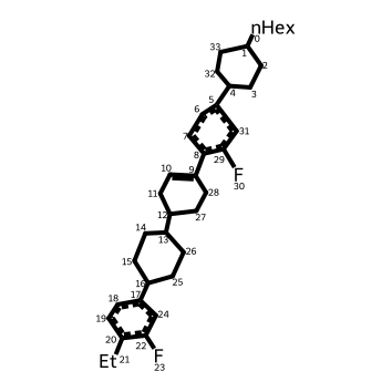 CCCCCCC1CCC(c2ccc(C3=CCC(C4CCC(c5ccc(CC)c(F)c5)CC4)CC3)c(F)c2)CC1